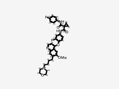 COc1cc2c(Oc3ccc(NC(=O)C4(C(=O)Nc5ccc(F)cc5)CC4)cc3F)ccnc2cc1CCCCN1CCOCC1